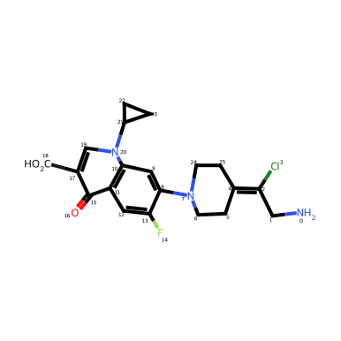 NCC(Cl)=C1CCN(c2cc3c(cc2F)c(=O)c(C(=O)O)cn3C2CC2)CC1